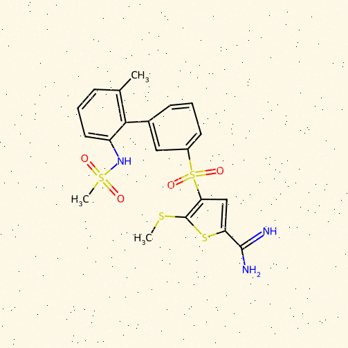 CSc1sc(C(=N)N)cc1S(=O)(=O)c1cccc(-c2c(C)cccc2NS(C)(=O)=O)c1